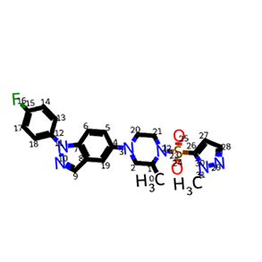 CC1CN(c2ccc3c(cnn3-c3ccc(F)cc3)c2)CCN1S(=O)(=O)c1ccnn1C